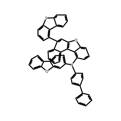 c1ccc(-c2ccc(N(c3ccc4c(c3)oc3ccccc34)c3cccc4oc5cc(-c6cccc7sc8ccccc8c67)c6ccccc6c5c34)cc2)cc1